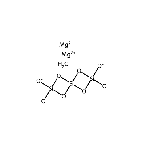 O.[Mg+2].[Mg+2].[O-][Si]1([O-])O[Si]2(O1)O[Si]([O-])([O-])O2